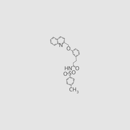 Cc1ccc(S(=O)(=O)NC(=O)CCc2cccc(OCc3ccc4ccccc4n3)c2)cc1